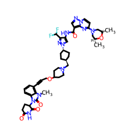 C[C@@H]1CN(c2ccn3ncc(C(=O)Nc4cn([C@H]5CC[C@H](CN6CCC(OCC#Cc7cccc8c7n(C)c(=O)n8C7CCC(=O)NC7=O)CC6)CC5)nc4C(F)F)c3n2)C[C@H](C)O1